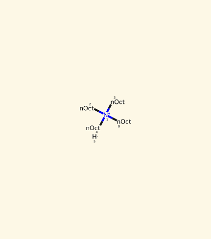 CCCCCCCC[N+](CCCCCCCC)(CCCCCCCC)CCCCCCCC.[H]